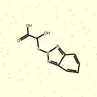 O=C(O)C(O)Sn1nc2ccccc2n1